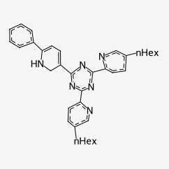 CCCCCCc1ccc(-c2nc(C3=CC=C(c4ccccc4)NC3)nc(-c3ccc(CCCCCC)cn3)n2)nc1